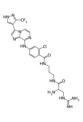 N=C(N)NCC(N)C(=O)NCCCNC(=O)c1ccc(Nc2nccn3c(-c4c[nH]nc4C(F)(F)F)cnc23)cc1Cl